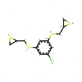 Clc1cc(SCC2CS2)cc(SCC2CS2)c1